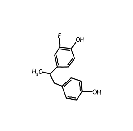 CC(Cc1ccc(O)cc1)c1ccc(O)c(F)c1